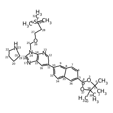 CC1(C)OB(c2ccc3cc(-c4cnc5c(c4)nc([C@@H]4CCCN4)n5COCC[Si](C)(C)C)ccc3c2)OC1(C)C